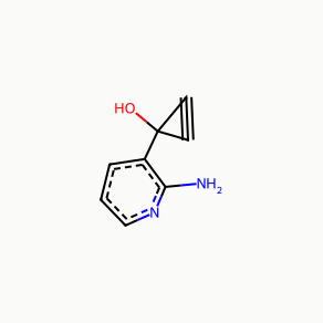 Nc1ncccc1C1(O)C#C1